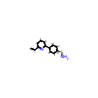 C=Cc1cccc(-c2ccc(SN)cc2)n1